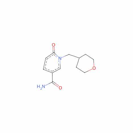 NC(=O)c1ccc(=O)n(CC2CCOCC2)c1